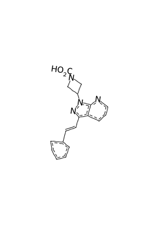 O=C(O)N1CC(n2nc(/C=C/c3ccccc3)c3cccnc32)C1